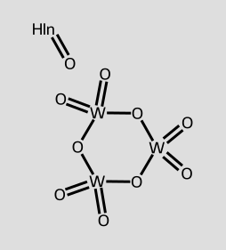 [O]=[InH].[O]=[W]1(=[O])[O][W](=[O])(=[O])[O][W](=[O])(=[O])[O]1